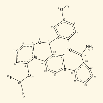 COc1cccc(C2Oc3cccc(OC(F)F)c3-c3ccc(-c4ccccc4C(N)=O)cc32)c1